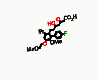 COCCOc1cc(C(C)C)c(C=CC(O)CC(=O)CC(=O)O)c(-c2ccc(F)cc2)c1OC